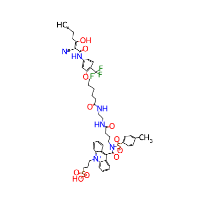 C#CCC/C(O)=C(\C#N)C(=O)Nc1ccc(C(F)(F)F)c(OCCCCCC(=O)NCCNC(=O)CCCN(C(=O)c2c3ccccc3[n+](CCCS(=O)(=O)O)c3ccccc23)S(=O)(=O)c2ccc(C)cc2)c1